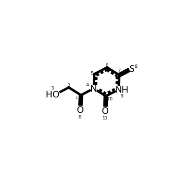 O=C(CO)n1ccc(=S)[nH]c1=O